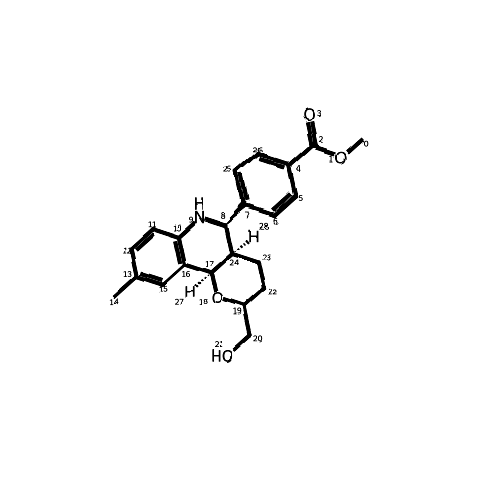 COC(=O)c1ccc([C@@H]2Nc3ccc(C)cc3[C@@H]3OC(CO)CC[C@H]23)cc1